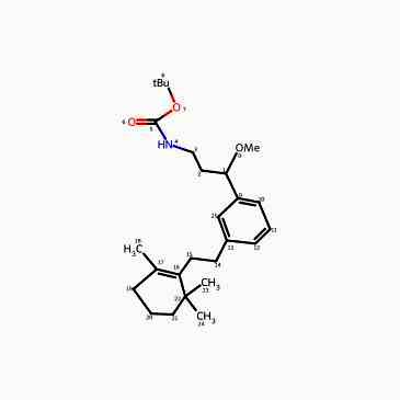 COC(CCNC(=O)OC(C)(C)C)c1cccc(CCC2=C(C)CCCC2(C)C)c1